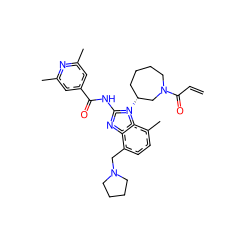 C=CC(=O)N1CCCC[C@@H](n2c(NC(=O)c3cc(C)nc(C)c3)nc3c(CN4CCCC4)ccc(C)c32)C1